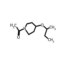 CCC(C)OC1CCN(C(C)=O)CC1